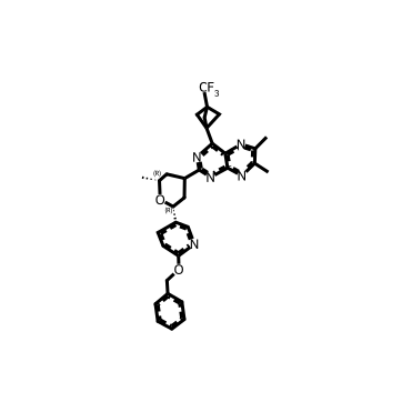 Cc1nc2nc(C3C[C@@H](C)O[C@@H](c4ccc(OCc5ccccc5)nc4)C3)nc(C34CC(C(F)(F)F)(C3)C4)c2nc1C